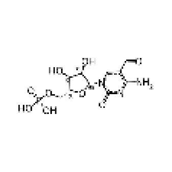 Nc1nc(=O)n([C@@H]2O[C@H](COP(=O)(O)O)[C@@H](O)[C@H]2O)cc1C=O